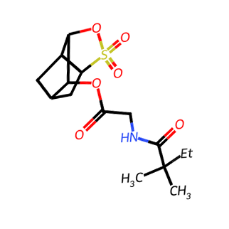 CCC(C)(C)C(=O)NCC(=O)OC1C2CC3C1OS(=O)(=O)C3C2